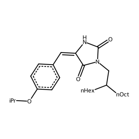 CCCCCCCCC(CCCCCC)CN1C(=O)NC(=Cc2ccc(OC(C)C)cc2)C1=O